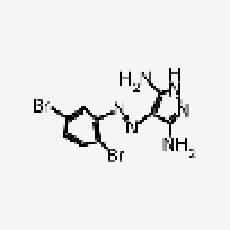 Nc1n[nH]c(N)c1N=Nc1cc(Br)ccc1Br